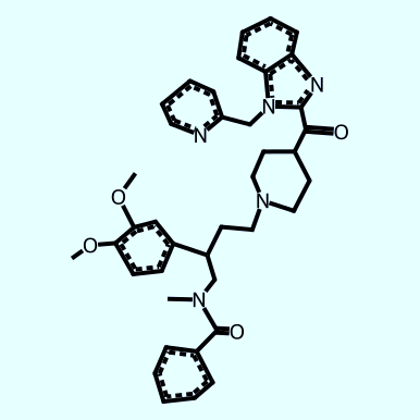 COc1ccc(C(CCN2CCC(C(=O)c3nc4ccccc4n3Cc3ccccn3)CC2)CN(C)C(=O)c2ccccc2)cc1OC